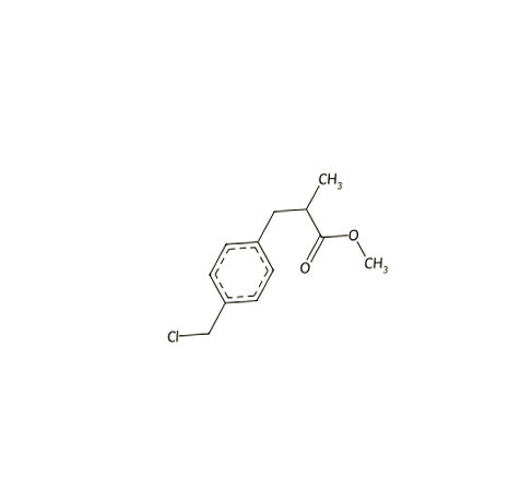 COC(=O)C(C)Cc1ccc(CCl)cc1